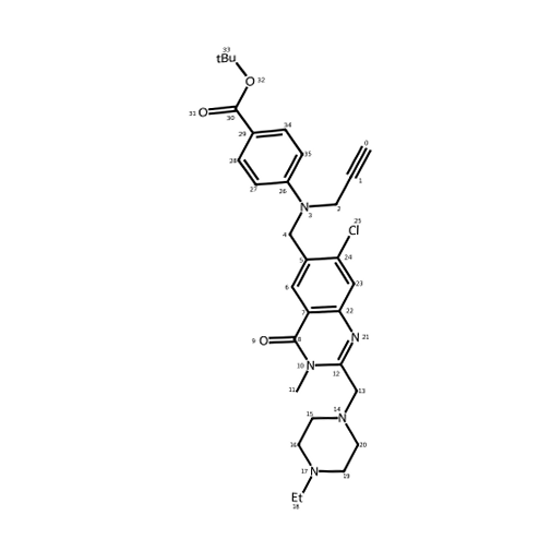 C#CCN(Cc1cc2c(=O)n(C)c(CN3CCN(CC)CC3)nc2cc1Cl)c1ccc(C(=O)OC(C)(C)C)cc1